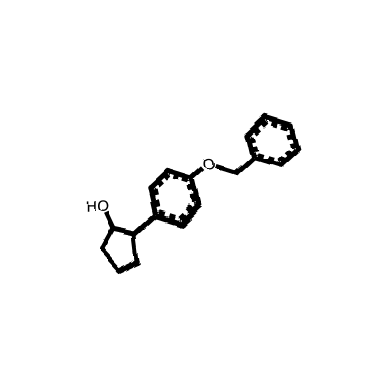 OC1CCCC1c1ccc(OCc2ccccc2)cc1